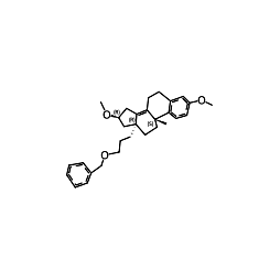 COc1ccc2c(c1)CCC1=C3C[C@H](OC)C[C@]3(CCCOCc3ccccc3)CC[C@]12C